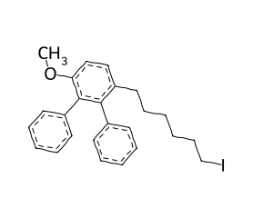 COc1ccc(CCCCCCI)c(-c2ccccc2)c1-c1ccccc1